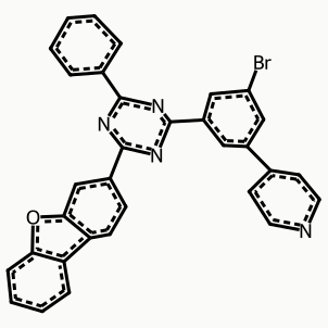 Brc1cc(-c2ccncc2)cc(-c2nc(-c3ccccc3)nc(-c3ccc4c(c3)oc3ccccc34)n2)c1